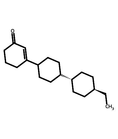 CC[C@H]1CC[C@H](C2CCC(C3=CC(=O)CCC3)CC2)CC1